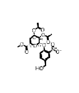 COC(=O)[C@@H]1C[C@H](OC(C)=O)[C@@H](OC(C)=O)[C@H](Oc2ccc(CO)cc2[N+](=O)[O-])O1